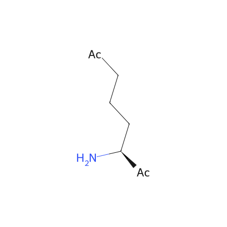 CC(=O)CCC[C@H](N)C(C)=O